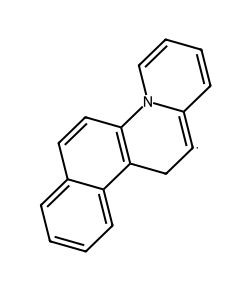 [C]1=C2C=CC=CN2c2ccc3ccccc3c2C1